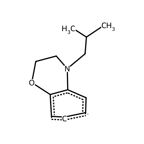 CC(C)CN1CCOc2cc[c]cc21